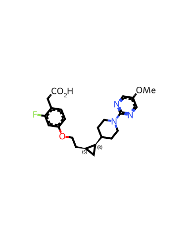 COc1cnc(N2CCC([C@H]3C[C@H]3CCOc3ccc(CC(=O)O)c(F)c3)CC2)nc1